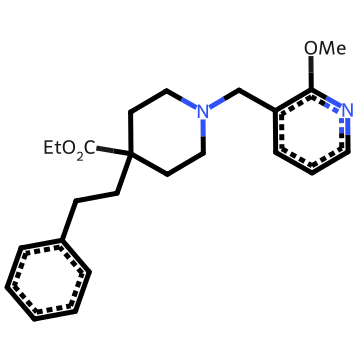 CCOC(=O)C1(CCc2ccccc2)CCN(Cc2cccnc2OC)CC1